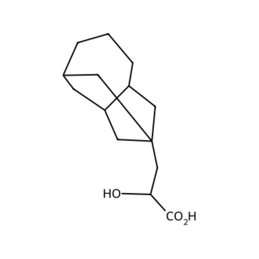 O=C(O)C(O)CC12CC3CCCC(C1)C(C3)C2